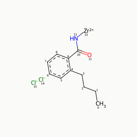 CCCCc1ccccc1C(=O)[NH][Zr+2].[Cl-].[Cl-]